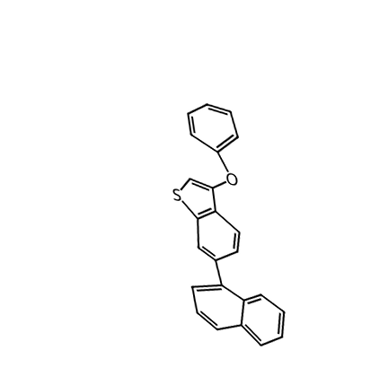 c1ccc(Oc2csc3cc(-c4cccc5ccccc45)ccc23)cc1